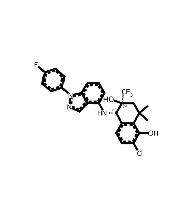 CC1(C)C[C@@](O)(C(F)(F)F)[C@@H](Nc2cccc3c2cnn3-c2ccc(F)cc2)c2ccc(Cl)c(O)c21